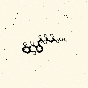 COC(=O)CC(=O)OC(=O)Cc1ccccc1Nc1c(Cl)cccc1Cl